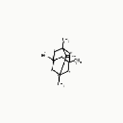 CC12CC3(O)CC(C)(C1)C(=O)C(C)(C2)C3